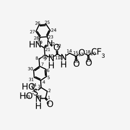 O=C1CC(c2ccc(C[C@H](NC(=O)NCC(=O)OC(=O)C(F)(F)F)c3nc4ccccc4[nH]3)cc2)S(O)(O)N1